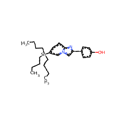 CCC[CH2][Sn]([CH2]CCC)([CH2]CCC)[c]1ccc2nc(-c3ccc(O)cc3)cn2c1